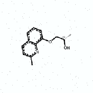 Cc1ccc2cccc(OC[C@H](C)O)c2n1